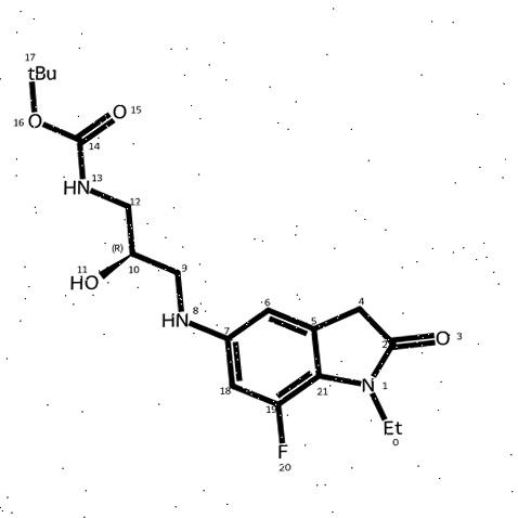 CCN1C(=O)Cc2cc(NC[C@@H](O)CNC(=O)OC(C)(C)C)cc(F)c21